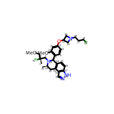 COC[C@@](C)(F)CN1C(c2ccc(OC3CN(CCCF)C3)cc2OC)c2ccc3[nH]ncc3c2C[C@H]1C